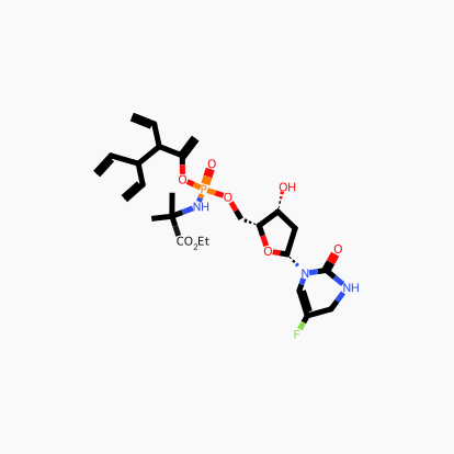 C=CC(C=C)C(C=C)C(=C)OP(=O)(NC(C)(C)C(=O)OCC)OC[C@H]1O[C@@H](N2C=C(F)CNC2=O)C[C@H]1O